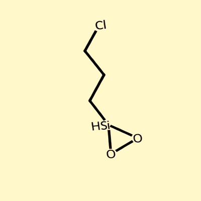 ClCCC[SiH]1OO1